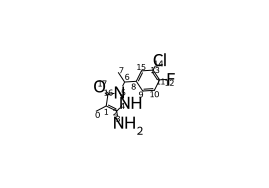 Cc1c(N)[nH]n(C(C)c2ccc(F)c(Cl)c2)c1=O